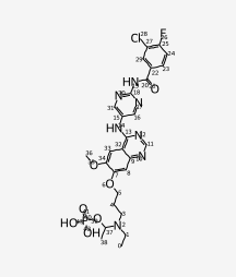 CCN(CCCOc1cc2ncnc(Nc3cnc(NC(=O)c4ccc(F)c(Cl)c4)nc3)c2cc1OC)C(C)OP(=O)(O)O